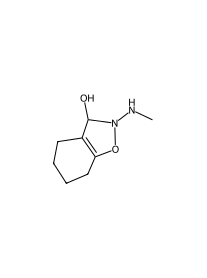 CNN1OC2=C(CCCC2)C1O